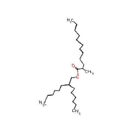 CCCCCCCCCCC(C)C(=O)OCC(CCCCCC)CCCCCC